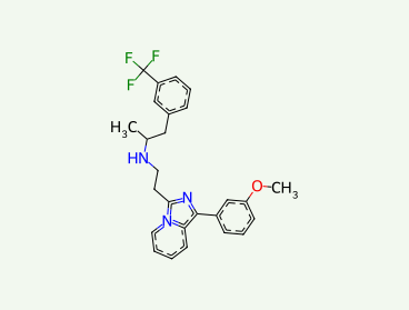 COc1cccc(-c2nc(CCNC(C)Cc3cccc(C(F)(F)F)c3)n3ccccc23)c1